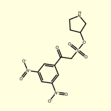 O=C(CS(=O)(=O)OC1CCNC1)c1cc([N+](=O)[O-])cc([N+](=O)[O-])c1